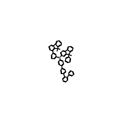 CC1(C)c2ccccc2-c2cccc(-c3cccc(N(c4ccc(-c5ccc(-c6ccccc6-c6ccccc6)cc5)cc4)c4ccc5c(c4)C(C)(c4ccccc4)c4ccccc4-5)c3)c21